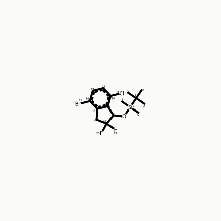 CC(C)(C)[Si](C)(C)OC1c2c(Cl)ccc(Br)c2CC1(F)F